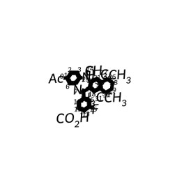 CC(=O)c1ccc2c(c1)N=C(c1ccc(C(=O)O)c(F)c1)c1cc3c(cc1N2C)C(C)(C)CCC3(C)C